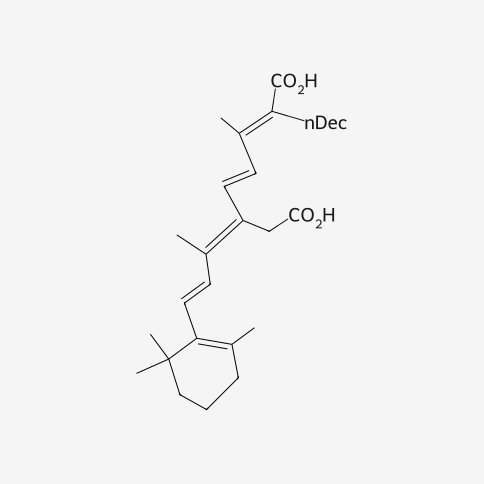 CCCCCCCCCC\C(C(=O)O)=C(C)/C=C/C(CC(=O)O)=C(C)/C=C/C1=C(C)CCCC1(C)C